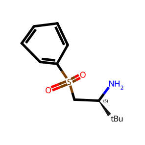 CC(C)(C)[C@H](N)CS(=O)(=O)c1ccccc1